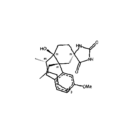 COc1ccc2c(c1)[C@@]1(CC2)C[C@]2(CC[C@@]1(O)[C@@H](C)N(C)CCC(F)(F)F)NC(=O)NC2=O